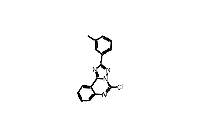 Cc1cccc(-c2nc3c4ccccc4nc(Cl)n3n2)c1